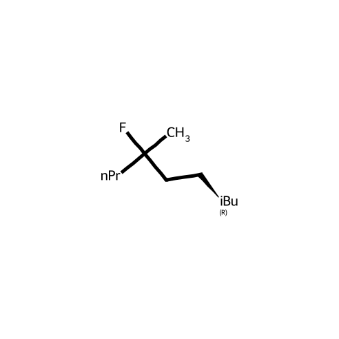 CCCC(C)(F)CC[C@H](C)CC